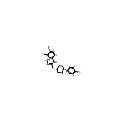 O/N=C(/C[C@H]1CC[C@H](c2ccc(O)cc2)CC1)Nc1ccc(F)c(F)c1